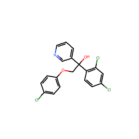 OC(COc1ccc(Cl)cc1)(c1cccnc1)c1ccc(Cl)cc1Cl